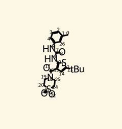 Cc1cccc(NC(=O)Nc2sc(C(C)(C)C)cc2C(=O)N2CCS(=O)(=O)CC2)c1